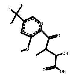 COc1cc(C(F)(F)F)cnc1C(=O)C(C)C(O)C(=O)O